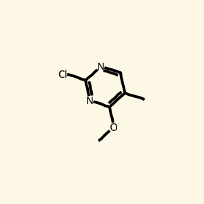 COc1nc(Cl)ncc1C